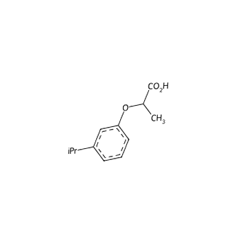 CC(Oc1cccc(C(C)C)c1)C(=O)O